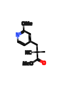 COC(=O)C(C)(C#N)Cc1ccnc(OC)c1